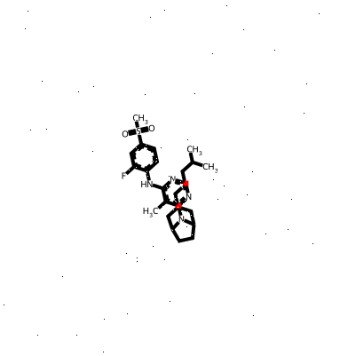 Cc1c(Nc2ccc(S(C)(=O)=O)cc2F)ncnc1N1C2CCC1CC(COCC(C)C)C2